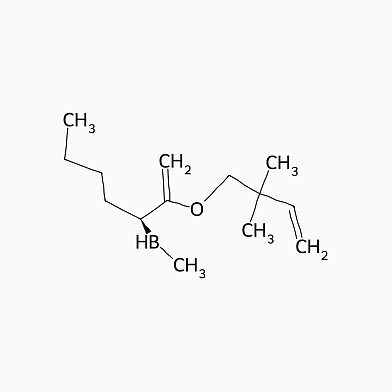 C=CC(C)(C)COC(=C)[C@@H](BC)CCCC